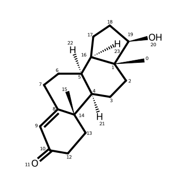 C[C@@]12CC[C@@H]3[C@@H](CCC4=CC(=O)CC[C@]43C)[C@H]1CC[C@H]2O